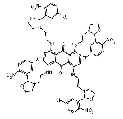 O=C1c2c(NCCN3CCOC3c3cc(Cl)ccc3[N+](=O)[O-])ccc(NCCN3CCOC3c3cc(Cl)ccc3[N+](=O)[O-])c2C(=O)c2c(NCCN3CCOC3c3cc(Cl)ccc3[N+](=O)[O-])ccc(NCCN3CCOC3c3cc(Cl)ccc3[N+](=O)[O-])c21